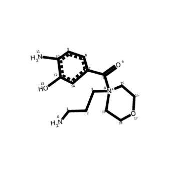 NCCC[N+]1(C(=O)c2ccc(N)c(O)c2)CCOCC1